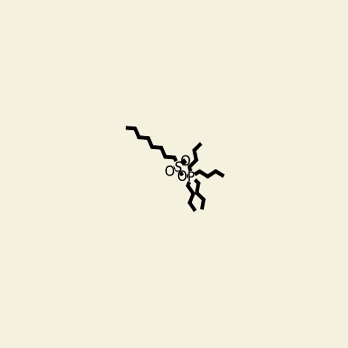 CCCCCCCCS(=O)(=O)OP(CCCC)(CCCC)(CCCC)CCCC